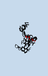 COCOc1cc(-c2ncc3c(N4CC5CC(C4)N5C(=O)OC(C)(C)C)nc(OC[C@@]45CCCN4C[C@H](F)C5)nc3c2F)c2c(C#C[Si](C(C)C)(C(C)C)C(C)C)c(F)ccc2c1